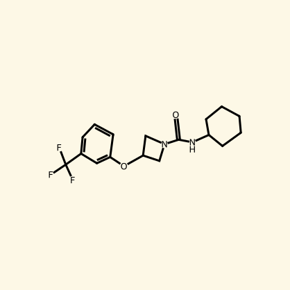 O=C(NC1CCCCC1)N1CC(Oc2cccc(C(F)(F)F)c2)C1